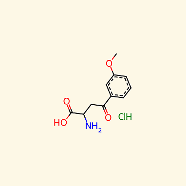 COc1cccc(C(=O)CC(N)C(=O)O)c1.Cl